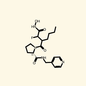 CCCCC(C(=O)N1CCC[C@H]1C(=O)NCc1ccncc1)C(F)C(=O)NO